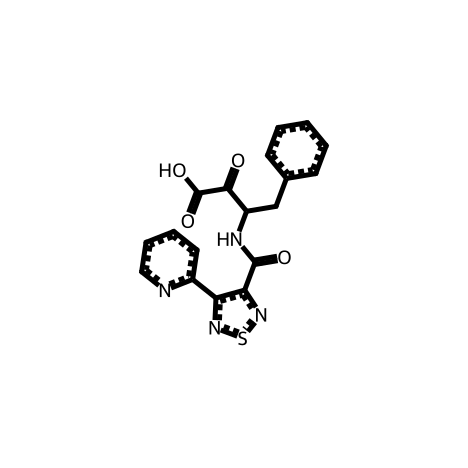 O=C(O)C(=O)C(Cc1ccccc1)NC(=O)c1nsnc1-c1ccccn1